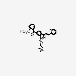 C[Si](C)(C)CCOCn1nc(C=Cc2ccccn2)c2ccc(C(=O)c3ccccc3C(=O)O)cc21